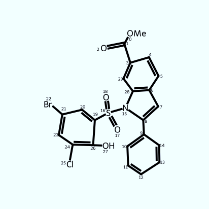 COC(=O)c1ccc2cc(-c3ccccc3)n(S(=O)(=O)c3cc(Br)cc(Cl)c3O)c2c1